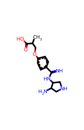 CC(COc1ccc(C(=N)NC2CNCC2N)cc1)C(=O)O